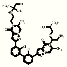 Cc1cn2nc(-c3cccc(-c4cccc(-c5cc6c(=O)n(C(CN)OC[C@@H](C)C(=O)O)c(C)cn6n5)c4Cl)c3Cl)cc2c(=O)n1CCN[C@@](C)(CO)C(=O)O